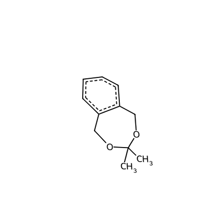 CC1(C)OCc2ccccc2CO1